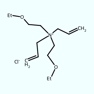 C=CC[N+](CC=C)(CCOCC)CCOCC.[Cl-]